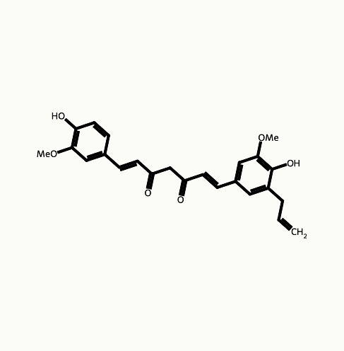 C=CCc1cc(C=CC(=O)CC(=O)C=Cc2ccc(O)c(OC)c2)cc(OC)c1O